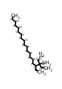 C=CC(CCCCCCCCCCCCCCCC)C([SiH3])(C=C)C=C